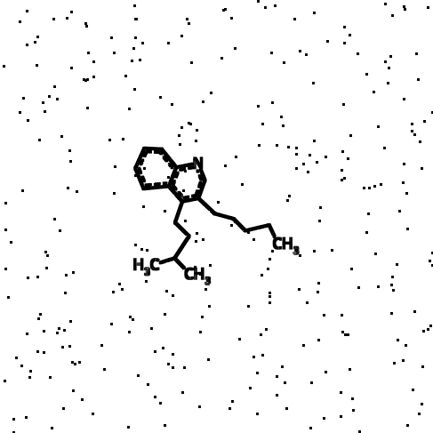 CCCCCc1cnc2ccccc2c1CCC(C)C